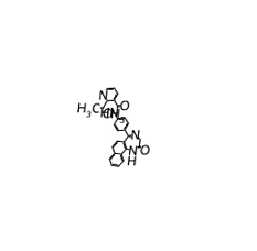 CC(C)c1ncccc1C(=O)Nc1ccc(C2=NCC(=O)Nc3c2ccc2ccccc32)cc1